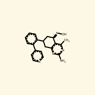 Cc1nc(N)nc2c1/C(=N\O)CC(c1ccccc1-c1ccncc1)C2